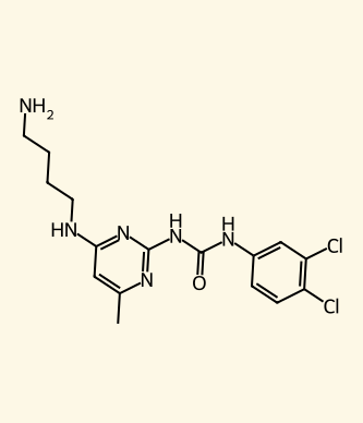 Cc1cc(NCCCCN)nc(NC(=O)Nc2ccc(Cl)c(Cl)c2)n1